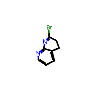 BrC1=Nc2ncccc2CC1